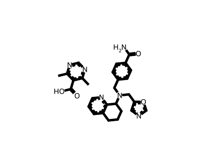 Cc1ncnc(C)c1C(=O)O.NC(=O)c1ccc(CN(Cc2cnco2)C2CCCc3cccnc32)cc1